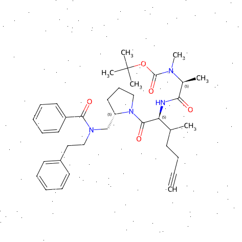 C#CCCC(C)[C@H](NC(=O)[C@H](C)N(C)C(=O)OC(C)(C)C)C(=O)N1CCC[C@H]1CN(CCc1ccccc1)C(=O)c1ccccc1